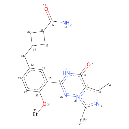 CCCc1nc(C)c2c(=O)[nH]c(-c3cc(CC4CC(C(N)=O)C4)ccc3OCC)nn12